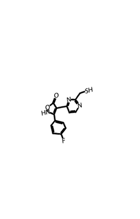 O=c1o[nH]c(-c2ccc(F)cc2)c1-c1ccnc(CS)n1